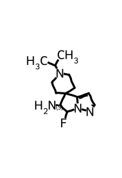 CC(C)N1CCC2(CC1)c1ccnn1C(F)[C@H]2N